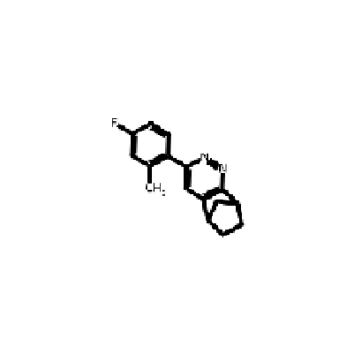 Cc1cc(F)ccc1-c1cc2c(nn1)C1CCC2C1